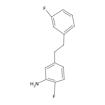 Nc1cc(CCc2cccc(F)c2)ccc1F